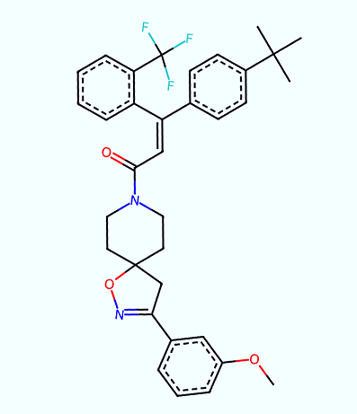 COc1cccc(C2=NOC3(CCN(C(=O)C=C(c4ccc(C(C)(C)C)cc4)c4ccccc4C(F)(F)F)CC3)C2)c1